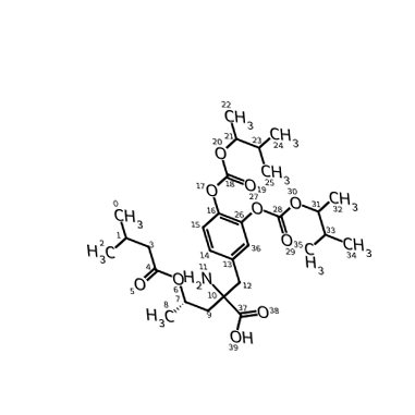 CC(C)CC(=O)O[C@@H](C)CC(N)(Cc1ccc(OC(=O)OC(C)C(C)C)c(OC(=O)OC(C)C(C)C)c1)C(=O)O